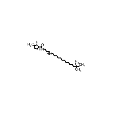 C=C1CCC(C(=O)NCCCNCCCCCCCCCCCCC(C)(C)CC)N1